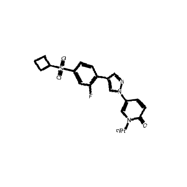 CCCn1cc(-n2cc(-c3ccc(S(=O)(=O)C4CCC4)cc3F)cn2)ccc1=O